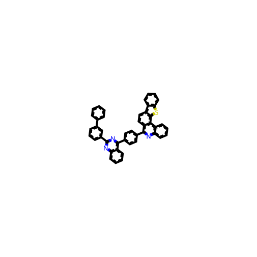 c1ccc(-c2cccc(-c3nc(-c4ccc(-c5nc6ccccc6c6c5ccc5c7ccccc7sc56)cc4)c4ccccc4n3)c2)cc1